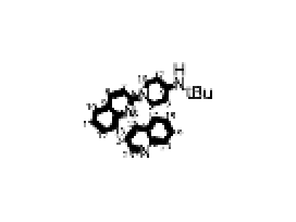 CC(C)(C)NC1CCN(c2ccc3ccccc3n2)CC1.c1ccc2ncccc2c1